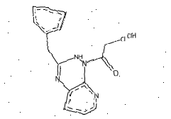 Cl.O=C(CCl)N1NC(Cc2ccccc2)=Nc2cccnc21